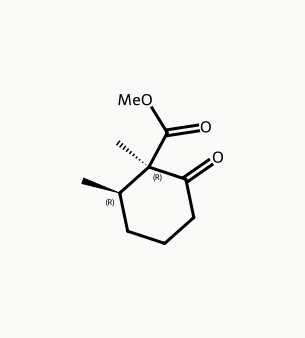 COC(=O)[C@@]1(C)C(=O)CCC[C@H]1C